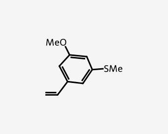 C=Cc1cc(OC)cc(SC)c1